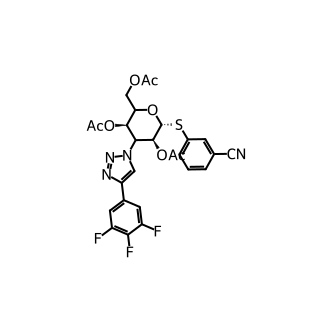 CC(=O)OCC1O[C@H](Sc2cccc(C#N)c2)[C@@H](OC(C)=O)C(n2cc(-c3cc(F)c(F)c(F)c3)nn2)[C@H]1OC(C)=O